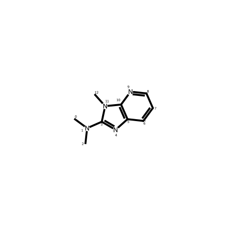 CN(C)c1nc2[c]ccnc2n1C